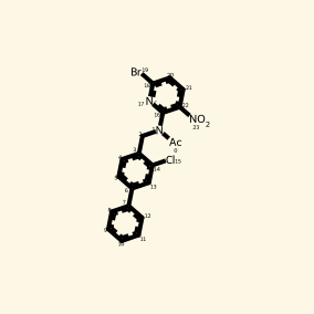 CC(=O)N(Cc1ccc(-c2ccccc2)cc1Cl)c1nc(Br)ccc1[N+](=O)[O-]